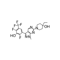 CCC1(O)CCN(c2ncc3c(-c4cc(C(F)(F)F)c(F)c(O)c4F)nn(C)c3n2)CC1